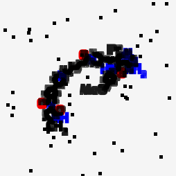 C=C1CCC(N2Cc3cc(C4CCN(CCCCCCC(=O)N5CCC(C#Cc6c(C(=O)Nc7ccc(COC)cc7)c7c(N)ncnn7c6C(C)C)CC5)CC4)ccc3C2=O)C(=O)N1